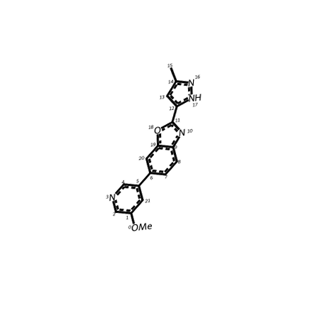 COc1cncc(-c2ccc3nc(-c4cc(C)n[nH]4)oc3c2)c1